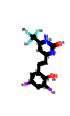 O=c1nc(C=Cc2cc(I)cc(I)c2O)cc(C(F)(F)F)[nH]1